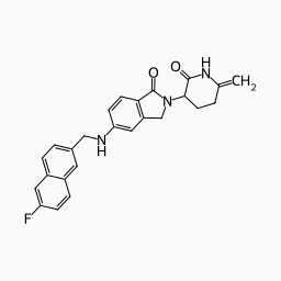 C=C1CCC(N2Cc3cc(NCc4ccc5cc(F)ccc5c4)ccc3C2=O)C(=O)N1